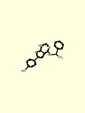 CC(Nc1nc[nH]c2nc(-c3ccc(O)cc3)cc1-2)c1ccccc1